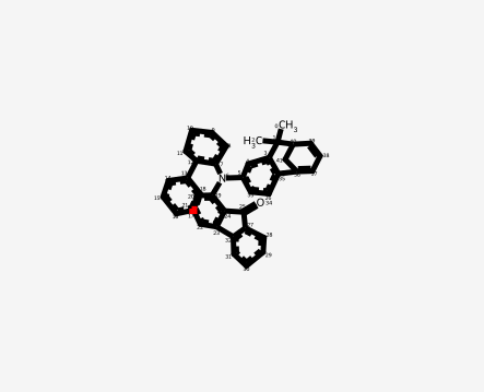 CC1(C)c2cc(N(c3ccccc3-c3ccccc3)c3cccc4c3C(=O)c3ccccc3-4)ccc2C2=CC=CC1C2